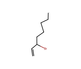 [CH2]CCCCC(Br)C=C